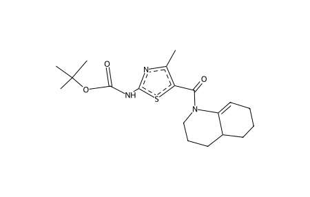 Cc1nc(NC(=O)OC(C)(C)C)sc1C(=O)N1CCCC2CCCC=C21